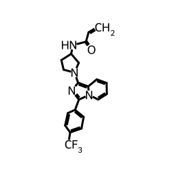 C=CC(=O)NC1CCN(c2nc(-c3ccc(C(F)(F)F)cc3)n3ccccc23)C1